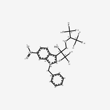 O=[N+]([O-])c1ccc2c(C(O)(COC(C(F)(F)F)C(F)(F)F)C(F)(F)F)cn(Cc3ccccc3)c2c1